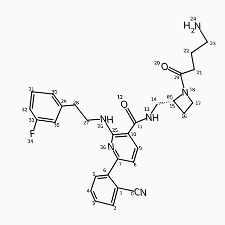 N#Cc1ccccc1-c1ccc(C(=O)NC[C@H]2CCN2C(=O)CCCN)c(NCCc2cccc(F)c2)n1